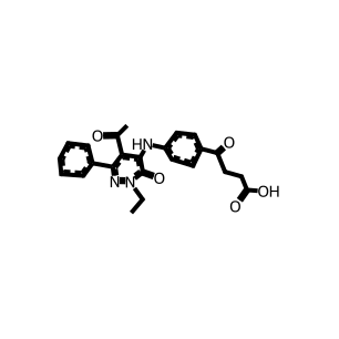 CCn1nc(-c2ccccc2)c(C(C)=O)c(Nc2ccc(C(=O)CCC(=O)O)cc2)c1=O